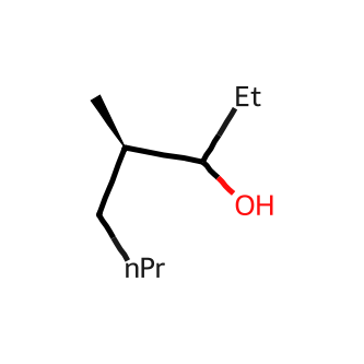 CCCC[C@@H](C)C(O)CC